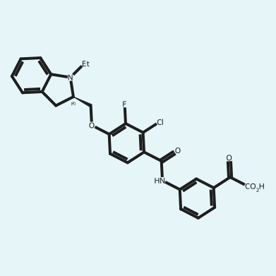 CCN1c2ccccc2C[C@@H]1COc1ccc(C(=O)Nc2cccc(C(=O)C(=O)O)c2)c(Cl)c1F